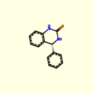 S=C1Nc2ccccc2[C@@H](c2ccccc2)N1